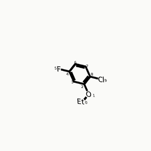 CCOc1cc(F)ccc1Cl